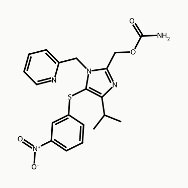 CC(C)c1nc(COC(N)=O)n(Cc2ccccn2)c1Sc1cccc([N+](=O)[O-])c1